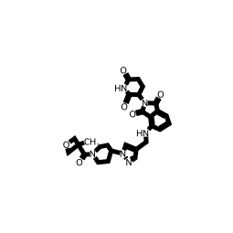 CC1(C(=O)N2CCC(n3cc(CNc4cccc5c4C(=O)N(C4CCC(=O)NC4=O)C5=O)cn3)CC2)COC1